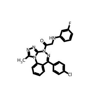 Cc1nnc2n1-c1ccccc1C(c1ccc(Cl)cc1)=NN2C(=O)CNc1cccc(F)c1